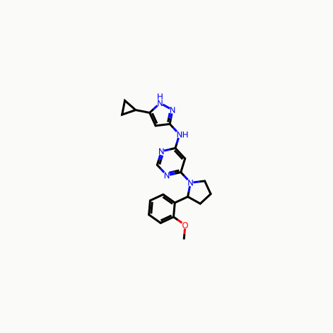 COc1ccccc1C1CCCN1c1cc(Nc2cc(C3CC3)[nH]n2)ncn1